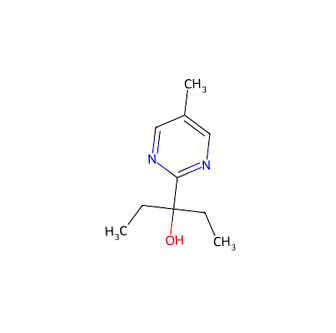 CCC(O)(CC)c1ncc(C)cn1